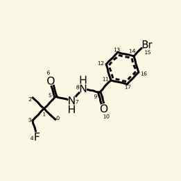 CC(C)(CF)C(=O)NNC(=O)c1ccc(Br)cc1